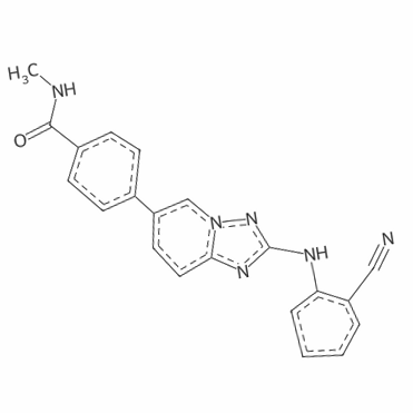 CNC(=O)c1ccc(-c2ccc3nc(Nc4ccccc4C#N)nn3c2)cc1